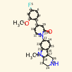 COc1cc(F)ccc1-c1ccn(-c2ccc3c4c(n(C)c3c2)CCNC4)c(=O)c1